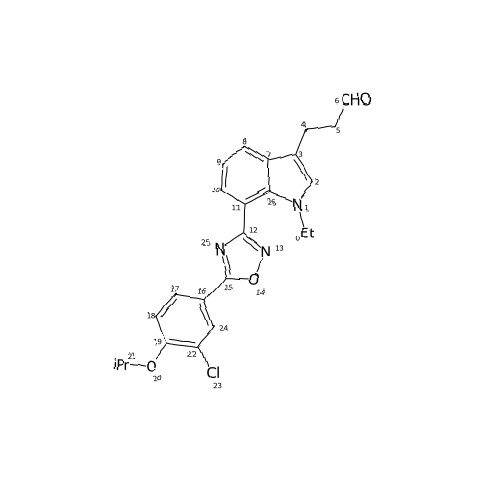 CCn1cc(CCC=O)c2cccc(-c3noc(-c4ccc(OC(C)C)c(Cl)c4)n3)c21